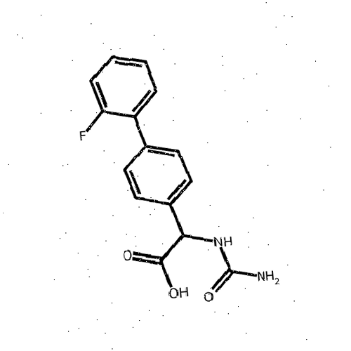 NC(=O)NC(C(=O)O)c1ccc(-c2ccccc2F)cc1